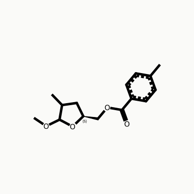 COC1O[C@H](COC(=O)c2ccc(C)cc2)CC1C